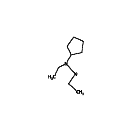 CC[N]N(CC)C1CCCC1